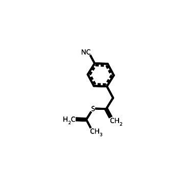 C=C(C)SC(=C)Cc1ccc(C#N)cc1